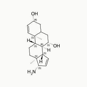 C[C@]12CC[C@H]3[C@@H]([C@@H](O)CC4C[C@@H](O)C=C[C@@]43C)[C@@H]1C=C[C@@H]2N